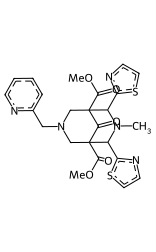 COC(=O)C12CN(Cc3ccccn3)CC(C(=O)OC)(C1=O)C(c1nccs1)N(C)C2c1nccs1